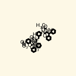 COC(=O)N[C@H](C(=O)Nc1cccc(C[C@@H](CO[Si](c2ccccc2)(c2ccccc2)C(C)(C)C)NS(=O)(=O)c2ccc([N+](=O)[O-])cc2)c1)C(c1ccccc1)c1ccccc1